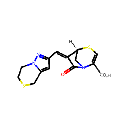 O=C(O)C1=CS[C@H]2CN1C(=O)C2=Cc1cc2n(n1)CCSC2